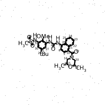 COc1c(NC(=O)Nc2ccc(C(=O)N3C[C@@H](C)O[C@H](C)C3)c3ccccc23)cc(C(C)(C)C)cc1NS(C)(=O)=O